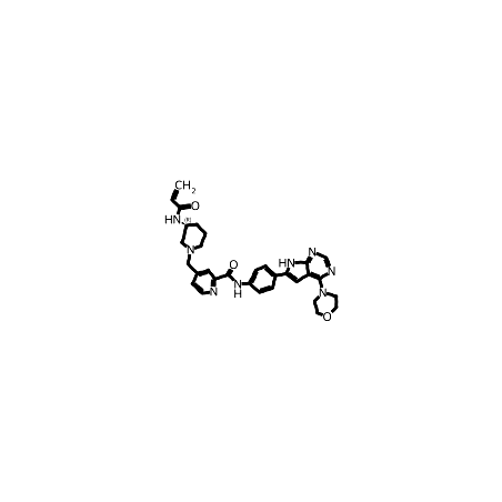 C=CC(=O)N[C@@H]1CCCN(Cc2ccnc(C(=O)Nc3ccc(-c4cc5c(N6CCOCC6)ncnc5[nH]4)cc3)c2)C1